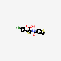 O=C(Nc1csc(-c2ccc(Cl)cc2)c1C(=O)O)c1ccc2sccc2c1